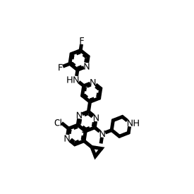 CN(c1nc(-c2ccnc(Nc3ncc(F)cc3F)c2)nc2c(Cl)ncc(C3CC3)c12)C1CCNCC1